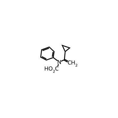 C=C(C1CC1)N(C(=O)O)c1ccccc1